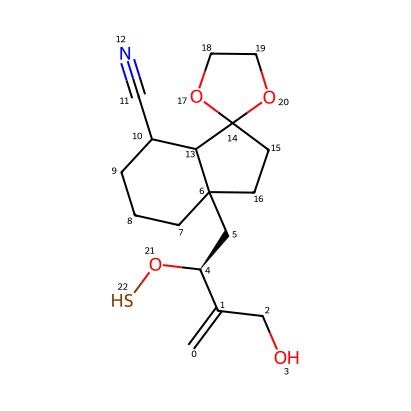 C=C(CO)[C@H](CC12CCCC(C#N)C1C1(CC2)OCCO1)OS